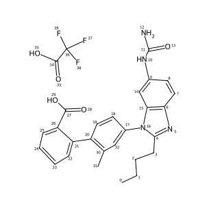 CCCCc1nc2ccc(NC(N)=O)cc2n1-c1ccc(-c2ccccc2C(=O)O)c(C)c1.O=C(O)C(F)(F)F